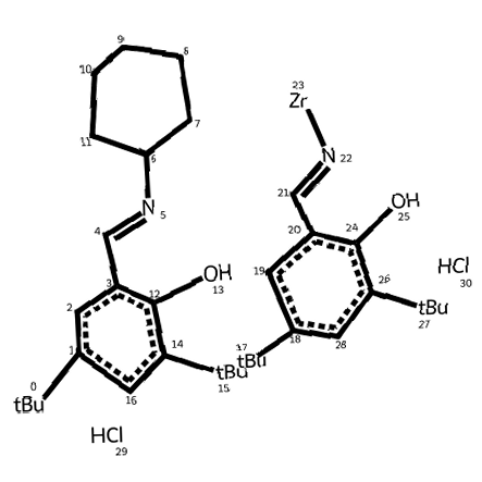 CC(C)(C)c1cc(C=NC2CCCCC2)c(O)c(C(C)(C)C)c1.CC(C)(C)c1cc(C=[N][Zr])c(O)c(C(C)(C)C)c1.Cl.Cl